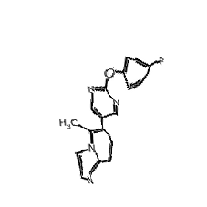 Cc1c(-c2cnc(Oc3ccc(F)cc3)nc2)ccc2nccn12